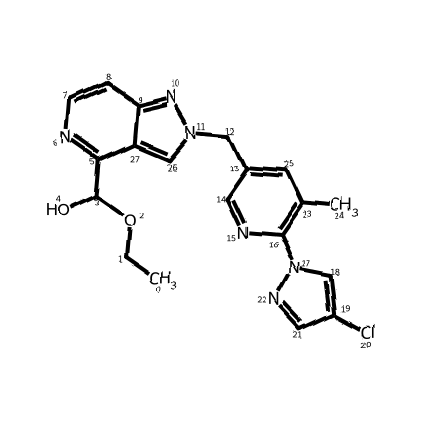 CCOC(O)c1nccc2nn(Cc3cnc(-n4cc(Cl)cn4)c(C)c3)cc12